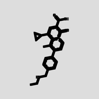 CCNCc1ccc(-c2ccn3c(=O)c(C(=O)O)cc(C4CC4)c3c2C)cc1